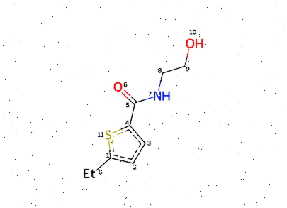 CCc1ccc(C(=O)NCCO)s1